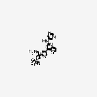 CCS(=O)(=O)N1CC(CN)(n2cc(-c3nc(Nc4cncnc4)nc4ccsc34)cn2)C1